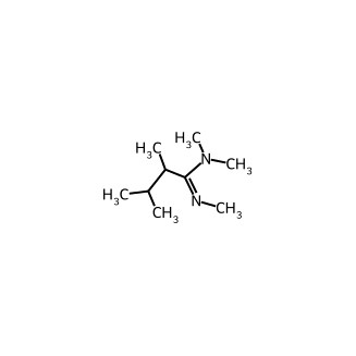 C/N=C(/C(C)C(C)C)N(C)C